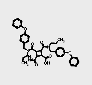 CCCN(Cc1ccc(Oc2ccccc2)cc1)C(=O)C1C(C(N)=O)C(C(=O)O)C1C(=O)N(CCC)Cc1ccc(Oc2ccccc2)cc1